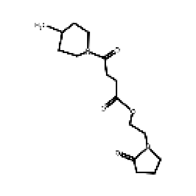 CC1CCN(C(=O)CCC(=O)OCCN2CCCC2=O)CC1